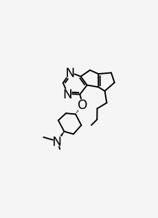 CCCCC1CCC2=C1c1c(ncnc1O[C@H]1CC[C@H](N(C)C)CC1)C2